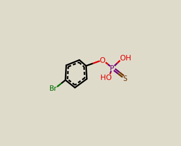 OP(O)(=S)Oc1ccc(Br)cc1